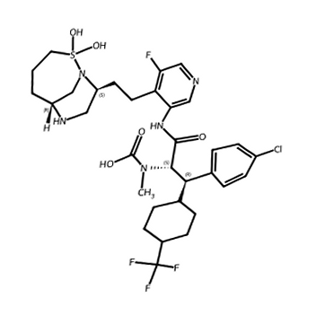 CN(C(=O)O)[C@H](C(=O)Nc1cncc(F)c1CC[C@H]1CN[C@@H]2CCCS(O)(O)N1C2)[C@@H](c1ccc(Cl)cc1)C1CCC(C(F)(F)F)CC1